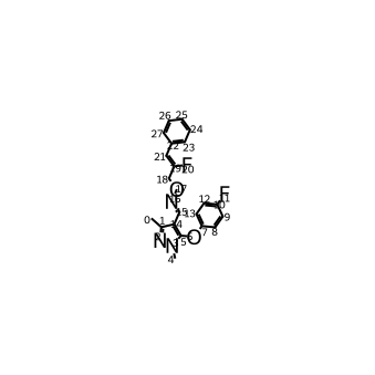 Cc1nn(C)c(Oc2ccc(F)cc2)c1C=NOCC(F)=Cc1ccccc1